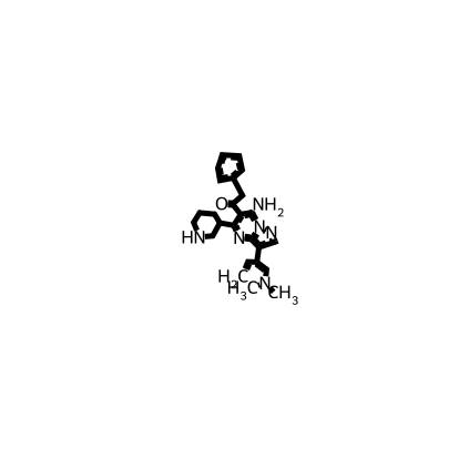 C=C/C(=C\N(C)C)c1cnn2c(N)c(C(=O)Cc3ccccc3)c(C3CCCNC3)nc12